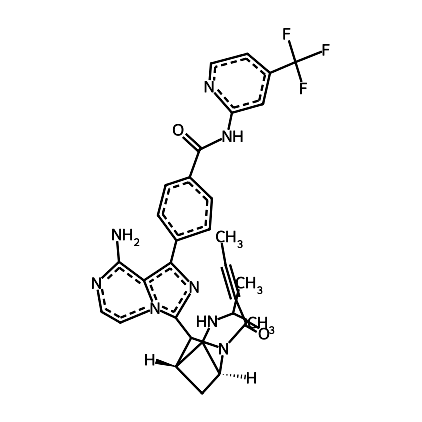 CC#CC(=O)N1C(c2nc(-c3ccc(C(=O)Nc4cc(C(F)(F)F)ccn4)cc3)c3c(N)nccn23)[C@H]2C[C@H]1C2NC(C)C